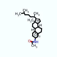 CC(=O)NC1CC[C@@]2(C)C(CC[C@H]3[C@@H]4CC[C@H]([C@H](C)CCCC(C)C)[C@@]4(C)CC[C@@H]32)C1